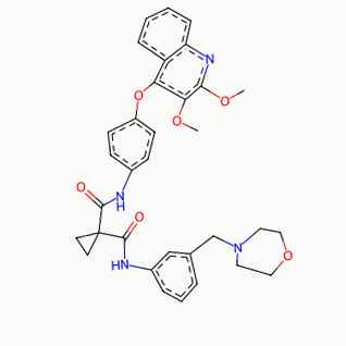 COc1nc2ccccc2c(Oc2ccc(NC(=O)C3(C(=O)Nc4cccc(CN5CCOCC5)c4)CC3)cc2)c1OC